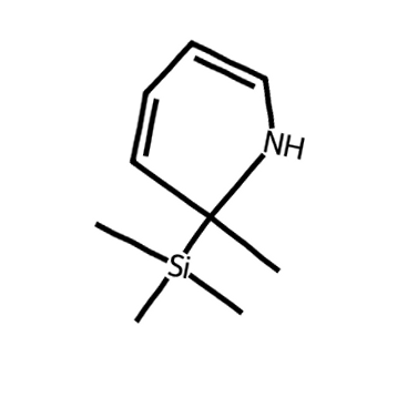 CC1([Si](C)(C)C)C=CC=CN1